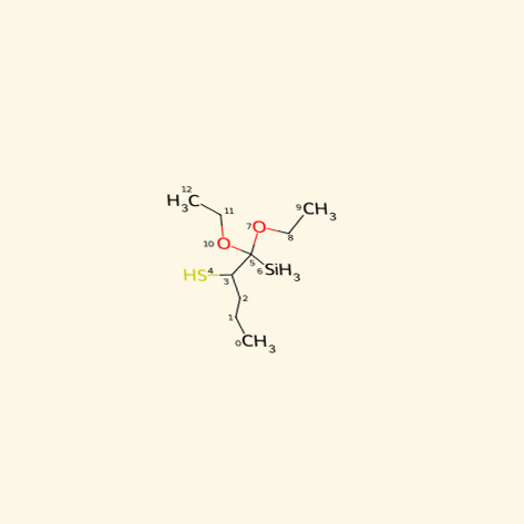 CCCC(S)C([SiH3])(OCC)OCC